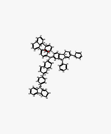 C1=C(c2ccccc2)C=C2C(C1)c1ccc(N(c3ccc(-c4cccc5cccc(-c6ccccc6)c45)cc3)c3ccc4cc(-c5ccc(-n6c7ccccc7c7ccccc76)cc5)ccc4c3)cc1N2c1ccccc1